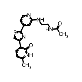 CC(=O)NCCNc1cc(-c2nc(-c3ccc(C)[nH]c3=O)cs2)ccn1